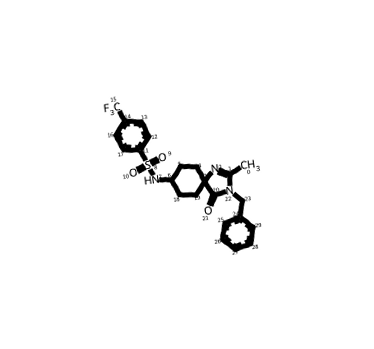 CC1=NC2(CCC(NS(=O)(=O)c3ccc(C(F)(F)F)cc3)CC2)C(=O)N1Cc1ccccc1